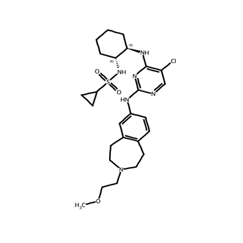 COCCN1CCc2ccc(Nc3ncc(Cl)c(N[C@@H]4CCCC[C@H]4NS(=O)(=O)C4CC4)n3)cc2CC1